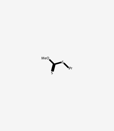 COC(=S)SC(C)C